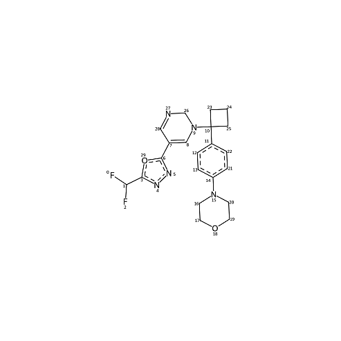 FC(F)c1nnc(C2=CN(C3(c4ccc(N5CCOCC5)cc4)CCC3)CN=C2)o1